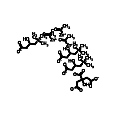 C[C](=O)[Zn+].C[C](=O)[Zn+].C[C](=O)[Zn+].C[N+](C)(C)CC(O)CC(=O)[O-].C[N+](C)(C)CC(O)CC(=O)[O-].C[N+](C)(C)CC(O)CC(=O)[O-].O=C([O-])CC(O)(CC(=O)[O-])C(=O)[O-]